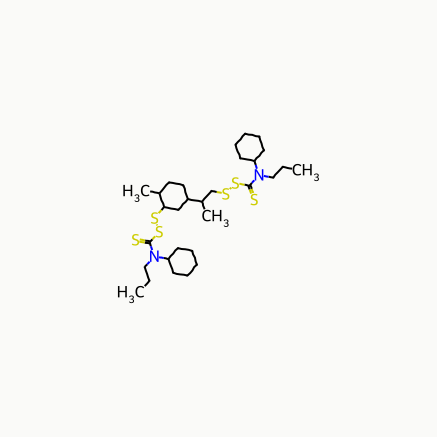 CCCN(C(=S)SSCC(C)C1CCC(C)C(SSC(=S)N(CCC)C2CCCCC2)C1)C1CCCCC1